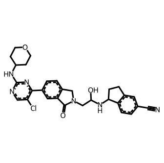 N#Cc1ccc2c(c1)CCC2NC(O)CN1Cc2ccc(-c3nc(NC4CCOCC4)ncc3Cl)cc2C1=O